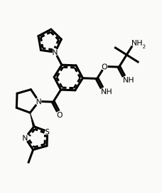 Cc1csc([C@H]2CCCN2C(=O)c2cc(C(=N)OC(=N)C(C)(C)N)cc(-n3cccc3)c2)n1